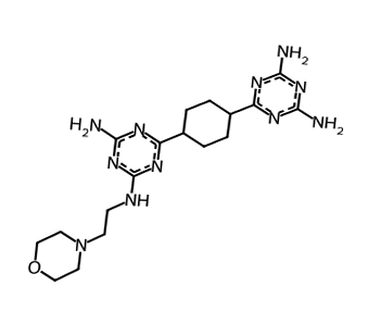 Nc1nc(N)nc(C2CCC(c3nc(N)nc(NCCN4CCOCC4)n3)CC2)n1